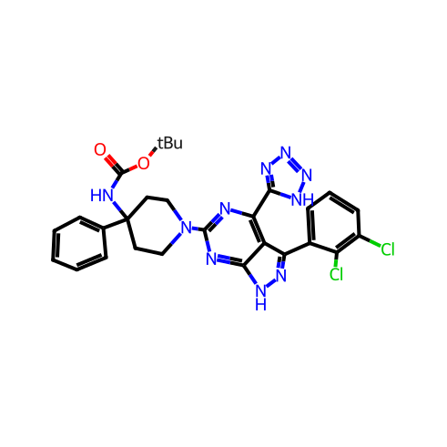 CC(C)(C)OC(=O)NC1(c2ccccc2)CCN(c2nc(-c3nnn[nH]3)c3c(-c4cccc(Cl)c4Cl)n[nH]c3n2)CC1